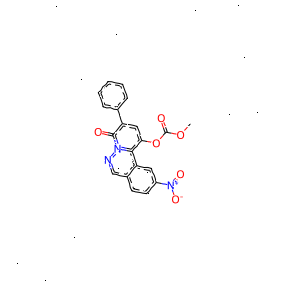 COC(=O)Oc1cc(-c2ccccc2)c(=O)n2ncc3ccc([N+](=O)[O-])cc3c12